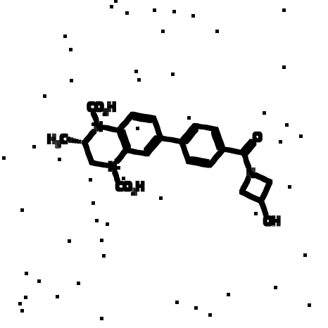 C[C@H]1CN(C(=O)O)c2cc(-c3ccc(C(=O)N4CC(O)C4)cc3)ccc2N1C(=O)O